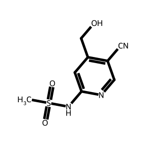 CS(=O)(=O)Nc1cc(CO)c(C#N)cn1